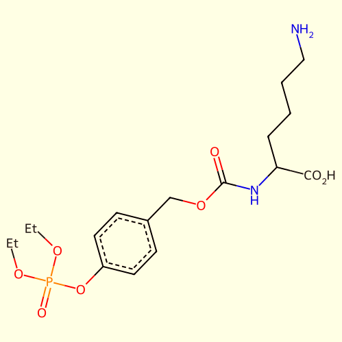 CCOP(=O)(OCC)Oc1ccc(COC(=O)NC(CCCCN)C(=O)O)cc1